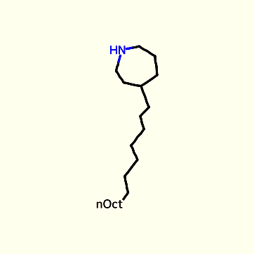 CCCCCCCCCCCCCCCC1CCCNCC1